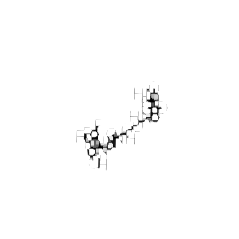 O=C1CCC(N2C(=O)c3cccc(NCCOCCOCCNC(=O)N4CC[C@H](NC5=Nc6cc(F)ccc6N(CC(F)F)c6ccc(Cl)cc65)C4)c3C2=O)C(=O)N1